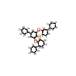 S=P12c3ccc(-c4ccccc4)cc3Oc3cc(-c4ccccc4)cc(c31)Oc1c(-c3ccccc3)cccc12